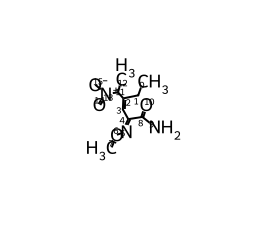 CC/C(=C\C(=N/OC)C(N)=O)C(C)[N+](=O)[O-]